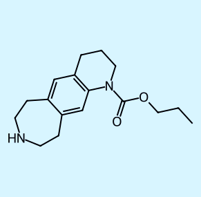 CCCOC(=O)N1CCCc2cc3c(cc21)CCNCC3